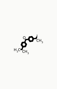 CC(C)c1ccc(C(=O)c2ccc(C(C)I)cc2)cc1